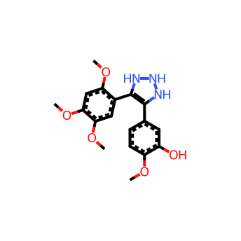 COc1ccc(C2=C(c3cc(OC)c(OC)cc3OC)NNN2)cc1O